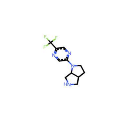 FC(F)(F)c1cnc(N2CCC3CNCC32)cn1